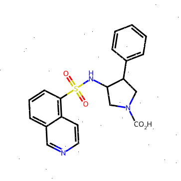 O=C(O)N1CC(NS(=O)(=O)c2cccc3cnccc23)C(c2ccccc2)C1